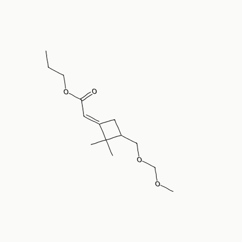 CCCOC(=O)C=C1CC(COCOC)C1(C)C